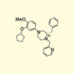 COc1ccc(N2CCN(Cc3ccccn3)[C@@H](Cc3ccccc3)C2)cc1OC1CCCC1